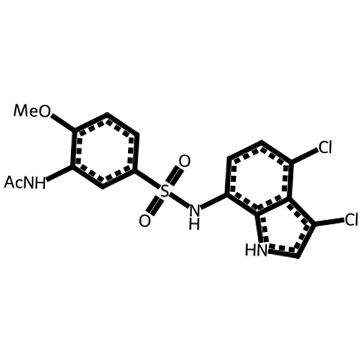 COc1ccc(S(=O)(=O)Nc2ccc(Cl)c3c(Cl)c[nH]c23)cc1NC(C)=O